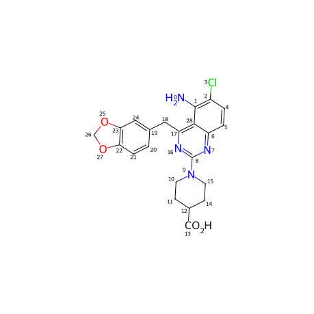 Nc1c(Cl)ccc2nc(N3CCC(C(=O)O)CC3)nc(Cc3ccc4c(c3)OCO4)c12